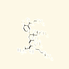 C=N/C(Cl)=C(\C=C(/CC)CC(n1ccc(=O)c(C(=O)OCC)c1)C(C)(C)COC)OCCCOC